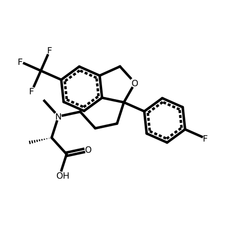 C[C@@H](C(=O)O)N(C)CCCC1(c2ccc(F)cc2)OCc2cc(C(F)(F)F)ccc21